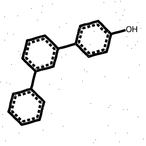 Oc1ccc(-c2cccc(-c3ccccc3)c2)cc1